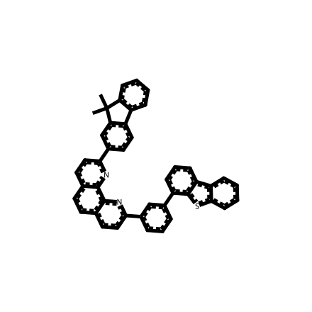 CC1(C)c2ccccc2-c2ccc(-c3ccc4ccc5ccc(-c6cccc(-c7cccc8c7sc7ccccc78)c6)nc5c4n3)cc21